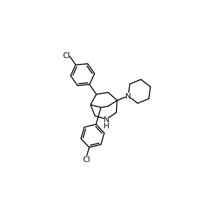 Clc1ccc(C2CC3(N4CCCCC4)CNCC2C(c2ccc(Cl)cc2)C3)cc1